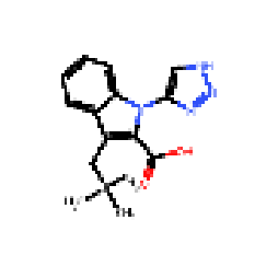 C[Si](C)(C)Cc1c(C(=O)O)n(-c2c[nH]nn2)c2ccccc12